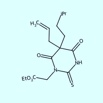 C=CCC1(CCC(C)C)C(=O)NC(=S)N(CC(=O)OCC)C1=O